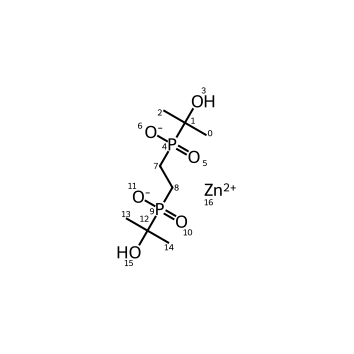 CC(C)(O)P(=O)([O-])CCP(=O)([O-])C(C)(C)O.[Zn+2]